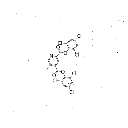 Cc1cnc(C(=O)Oc2c(Cl)cc(Cl)cc2Cl)cc1C(=O)Oc1c(Cl)cc(Cl)cc1Cl